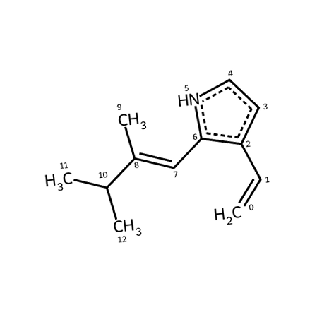 C=Cc1cc[nH]c1/C=C(\C)C(C)C